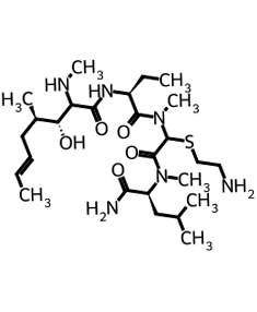 C/C=C/C[C@@H](C)[C@@H](O)C(NC)C(=O)N[C@@H](CC)C(=O)N(C)C(SCCN)C(=O)N(C)[C@@H](CC(C)C)C(N)=O